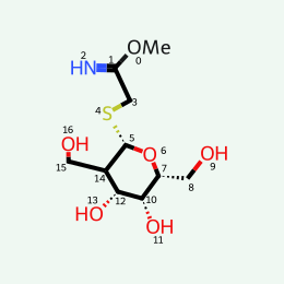 COC(=N)CS[C@@H]1O[C@H](CO)[C@H](O)[C@H](O)C1CO